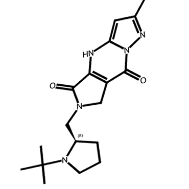 CCc1cc2[nH]c3c(c(=O)n2n1)CN(C[C@H]1CCCN1C(C)(C)C)C3=O